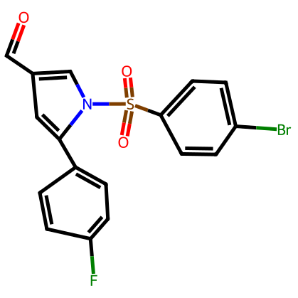 O=Cc1cc(-c2ccc(F)cc2)n(S(=O)(=O)c2ccc(Br)cc2)c1